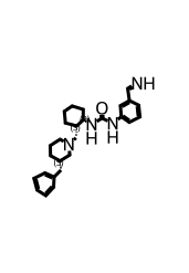 N=Cc1cccc(NC(=O)N[C@@H]2CCCC[C@H]2CN2CCC[C@@H](Cc3ccccc3)C2)c1